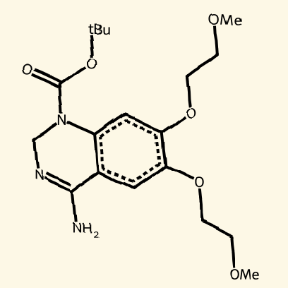 COCCOc1cc2c(cc1OCCOC)N(C(=O)OC(C)(C)C)CN=C2N